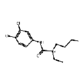 CCCC[C@@H](CC)C(=O)Nc1ccc(Cl)c(Cl)c1